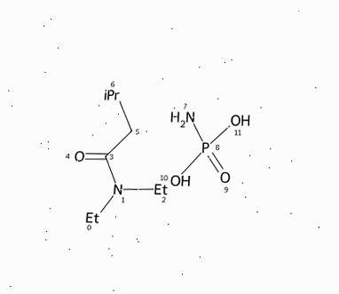 CCN(CC)C(=O)CC(C)C.NP(=O)(O)O